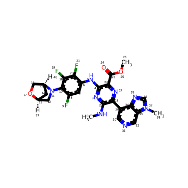 CNc1nc(Nc2cc(F)c(N3C[C@@H]4C[C@H]3CO4)c(F)c2F)c(C(=O)OC)nc1-c1cncc2c1ncn2C